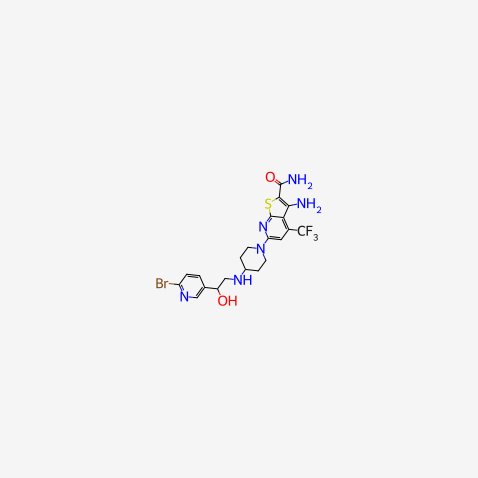 NC(=O)c1sc2nc(N3CCC(NCC(O)c4ccc(Br)nc4)CC3)cc(C(F)(F)F)c2c1N